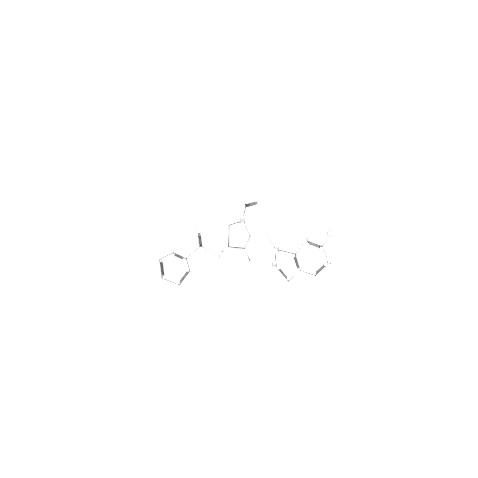 CC(=O)N1C[C@H](OC(=O)c2ccccc2)[C@H](C)[C@H]1Cn1ncc2cnc(Cl)nc21